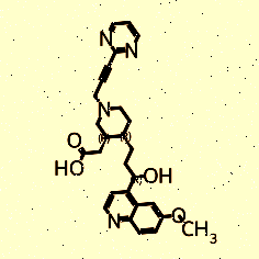 COc1ccc2nccc([C@H](O)CC[C@@H]3CCN(CC#Cc4ncccn4)C[C@@H]3CC(=O)O)c2c1